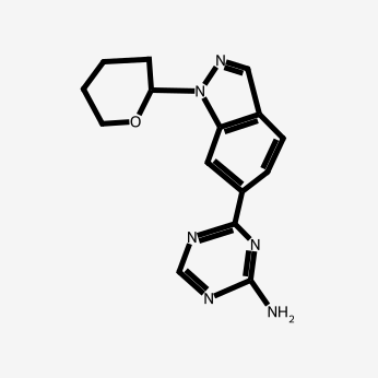 Nc1ncnc(-c2ccc3cnn(C4CCCCO4)c3c2)n1